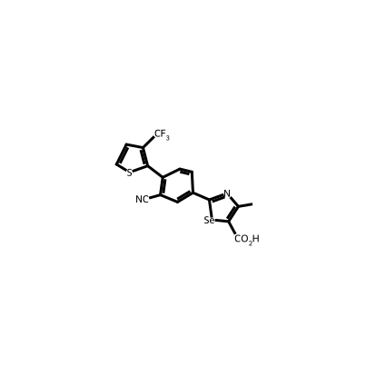 Cc1nc(-c2ccc(-c3sccc3C(F)(F)F)c(C#N)c2)[se]c1C(=O)O